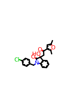 Cc1cc(C(=O)CC2(O)C(=O)N(Cc3ccc(Cl)cc3)c3ccccc32)c(C)o1